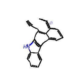 C#CC1=c2c(ccc/c2=C/C)-c2c1[nH]c1ccccc21